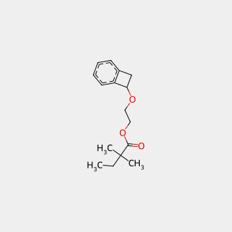 CCC(C)(C)C(=O)OCCOC1Cc2ccccc21